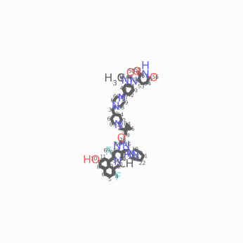 C#Cc1c(F)ccc2cc(O)cc(-c3ncc4c(N5CC6CCC(C5)N6)nc(OCC5(CN6CCC(CN7CCN(c8ccc9c(c8)n(C)c(=O)n9C8CCC(=O)NC8=O)CC7)CC6)CC5)nc4c3F)c12